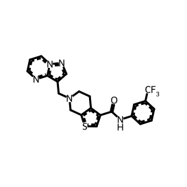 O=C(Nc1cccc(C(F)(F)F)c1)c1csc2c1CCN(Cc1cnn3cccnc13)C2